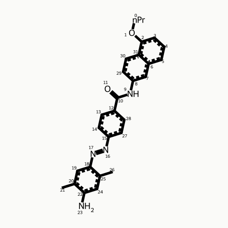 CCCOc1cccc2cc(NC(=O)c3ccc(N=Nc4cc(C)c(N)cc4C)cc3)ccc12